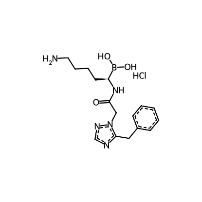 Cl.NCCCC[C@H](NC(=O)Cn1ncnc1Cc1ccccc1)B(O)O